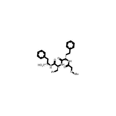 CCCCOCC(=O)N[C@@H](CCc1ccccc1)C(=O)N[C@@H](CC(C)C)C(=O)N[C@@H](Cc1ccccc1)C(=O)O